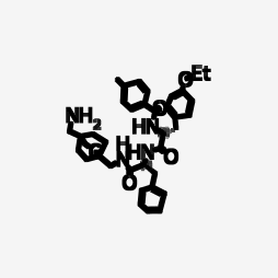 CCOc1ccc(C[C@@H](NC(=O)c2ccc(C)cc2)C(=O)N[C@@H](Cc2ccccc2)C(=O)NCC23CCC(CN)(CC2)CC3)cc1